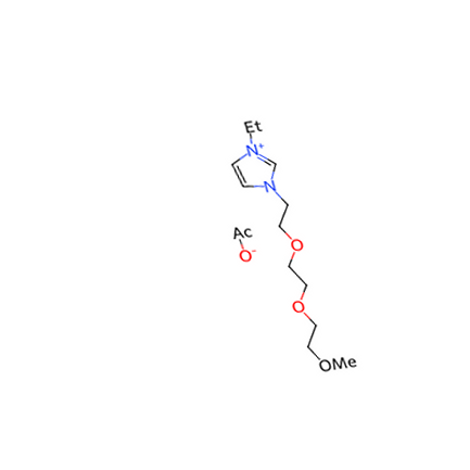 CC(=O)[O-].CC[n+]1ccn(CCOCCOCCOC)c1